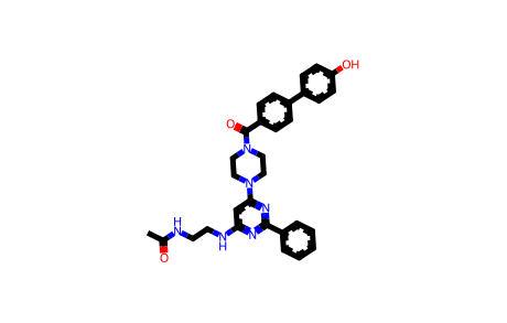 CC(=O)NCCNc1cc(N2CCN(C(=O)c3ccc(-c4ccc(O)cc4)cc3)CC2)nc(-c2ccccc2)n1